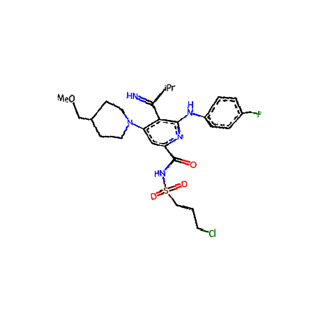 COCC1CCN(c2cc(C(=O)NS(=O)(=O)CCCCl)nc(Nc3ccc(F)cc3)c2C(=N)C(C)C)CC1